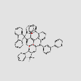 CC1(C)c2ccccc2-c2ccc(N(c3cccc(-c4ccccc4)c3)c3cccc(-c4ccccc4)c3-c3cccc4c3-c3ccccc3C43c4ccccc4-c4ccccc43)cc21